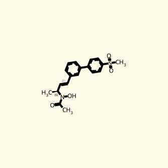 CC(=O)N(O)[C@@H](C)/C=C/c1cccc(-c2ccc(S(C)(=O)=O)cc2)c1